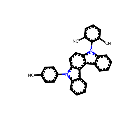 N#Cc1ccc(-n2c3ccccc3c3c4c5ccccc5n(-c5c(C#N)cccc5C#N)c4ccc32)cc1